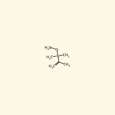 C=C(C)[Si](C)(C)O[SiH3]